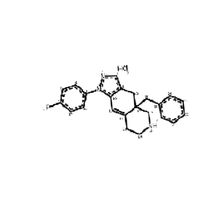 Cl.Fc1ccc(-n2ncc3c2C=C2CCNCC2(Cc2ccccc2)C3)cc1